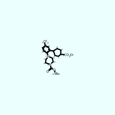 CCOC(=O)C1CCC(c2cc(C(F)(F)F)ccc2N2CCN(C(=O)OC(C)(C)C)CC2)CC1